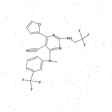 CN(c1cccc(C(F)(F)F)c1)c1nc(NCC(F)(F)F)nc(-c2ccco2)c1C#N